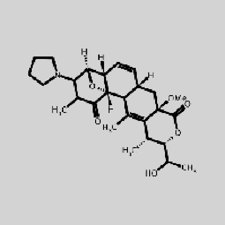 CO[C@]12C[C@H]3C=C[C@@H]4[C@H]5C(=O)C(C)C(N6CCCC6)[C@@H]4O[C@@]35C(C)=C1[C@@H](C)[C@@H]([C@@H](C)O)OC2=O